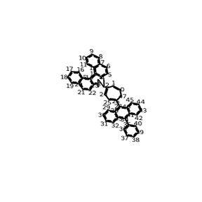 C1=CC(n2c3ccc4ccccc4c3c3c4ccccc4ccc32)=CC=C(c2c3ccccc3c(-c3ccccc3)c3ccccc23)C1